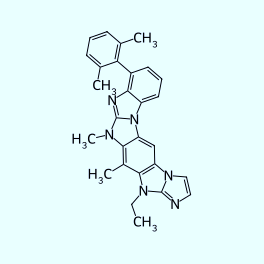 CCn1c2c(C)c3c(cc2n2ccnc12)n1c2cccc(-c4c(C)cccc4C)c2nc1n3C